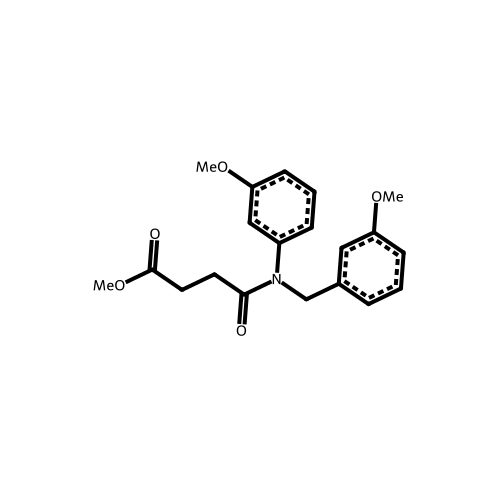 COC(=O)CCC(=O)N(Cc1cccc(OC)c1)c1cccc(OC)c1